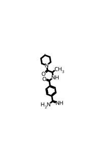 CC(NC(=O)c1ccc(C(=N)N)cc1)C(=O)N1CC[CH]CC1